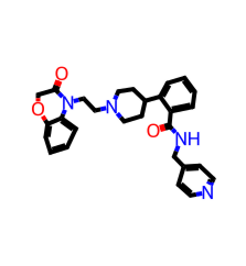 O=C(NCc1ccncc1)c1ccccc1C1CCN(CCN2C(=O)COc3ccccc32)CC1